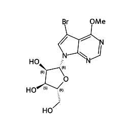 COc1ncnc2c1c(Br)cn2[C@@H]1O[C@H](CO)[C@@H](O)[C@H]1O